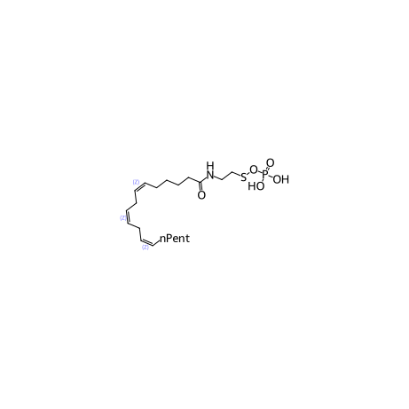 CCCCC/C=C\C/C=C\C/C=C\CCCCC(=O)NCCSOP(=O)(O)O